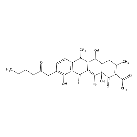 CCCCC(=O)Cc1ccc2c(c1O)C(=O)C1=C(O)C3(O)C(=O)C(C(C)=O)=C(C)CC3C(O)C1C2C